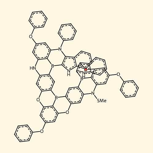 CSN1c2cc3c(cc2B2c4[nH]c5ccccc5c4Oc4cc(Oc5ccccc5)cc1c42)B1c2cc4c(cc2Oc2cc(Oc5ccccc5)cc(c21)O3)Nc1cc(Oc2ccccc2)cc2c1B4c1[nH]c3ccccc3c1N2c1ccccc1